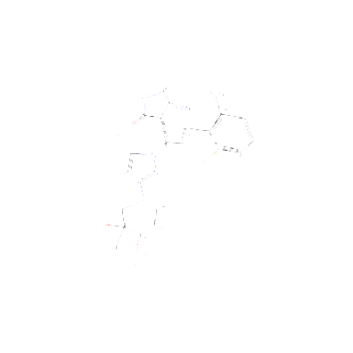 CC1(O)CN(c2ccn(-c3cc(-c4c(F)cccc4C#N)nc4c3C(=O)NC4)n2)CCC1O